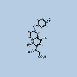 O=CN(CC(=O)O)c1nc(Cl)c2nc(Oc3ccc(Cl)cc3)ccc2c1O